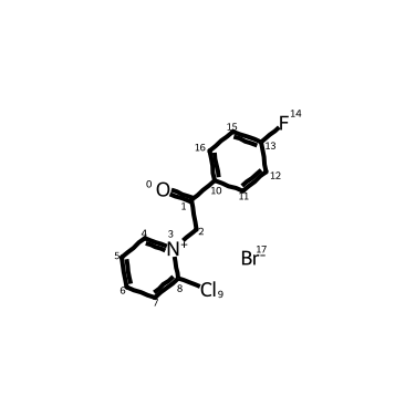 O=C(C[n+]1ccccc1Cl)c1ccc(F)cc1.[Br-]